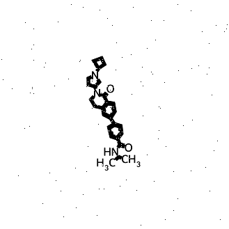 CC(C)NC(=O)c1ccc(-c2ccc3c(c2)CCN(C2CCN(C4CCC4)C2)C3=O)cc1